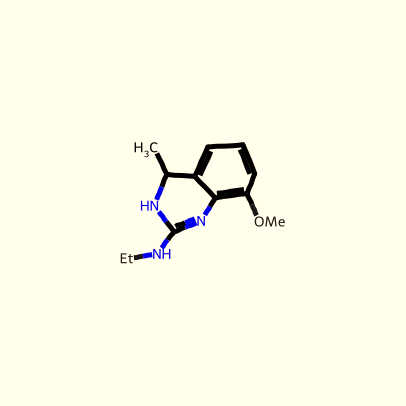 CCNC1=Nc2c(OC)cccc2C(C)N1